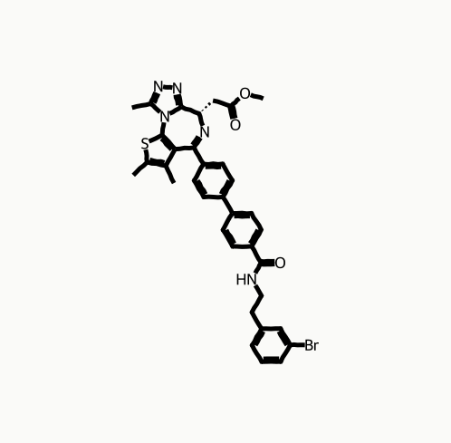 COC(=O)C[C@@H]1N=C(c2ccc(-c3ccc(C(=O)NCCc4cccc(Br)c4)cc3)cc2)c2c(sc(C)c2C)-n2c(C)nnc21